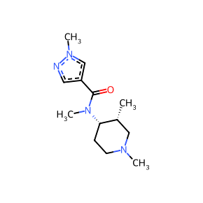 C[C@@H]1CN(C)CC[C@@H]1N(C)C(=O)c1cnn(C)c1